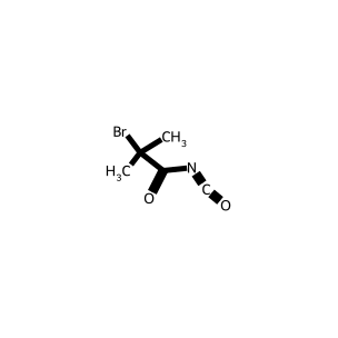 CC(C)(Br)C(=O)N=C=O